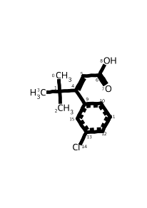 CC(C)(C)/C(=C/C(=O)O)c1cccc(Cl)c1